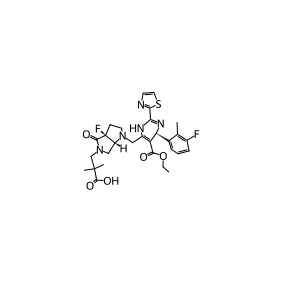 CCOC(=O)C1=C(CN2CC[C@@]3(F)C(=O)N(CC(C)(C)C(=O)O)C[C@@H]23)NC(c2nccs2)=N[C@H]1c1cccc(F)c1C